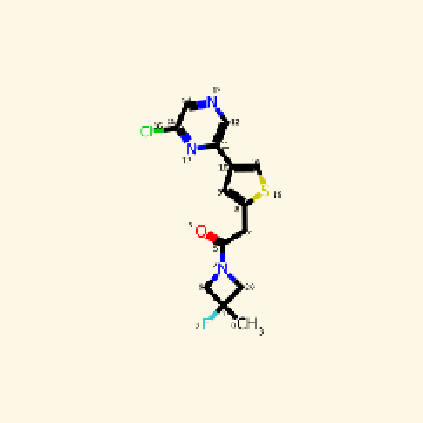 CC1(F)CN(C(=O)Cc2cc(-c3cncc(Cl)n3)cs2)C1